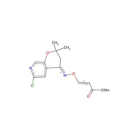 COC(=O)/C=C/O/N=C1\CC(C)(C)Oc2cnc(Cl)cc21